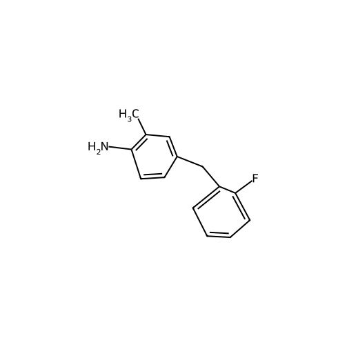 Cc1cc(Cc2ccccc2F)ccc1N